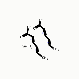 C/C=C/C=C/C(=O)[O-].C/C=C/C=C/C(=O)[O-].[SnH2+2]